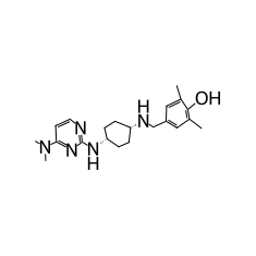 Cc1cc(CN[C@H]2CC[C@@H](Nc3nccc(N(C)C)n3)CC2)cc(C)c1O